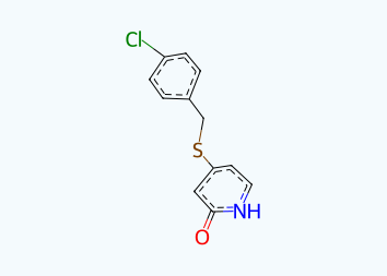 O=c1cc(SCc2ccc(Cl)cc2)cc[nH]1